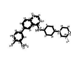 C[C@@H]1CN(C2CCC(Nc3ncnc4ccc(-c5cnc(F)c(N)c5)cc34)CC2)CCO1